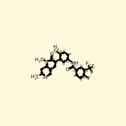 Cc1cc2c(cn1)cc(-c1cc(NC(=O)c3ccc(F)c(C(F)(F)F)c3)ccc1C)c(=O)n2C